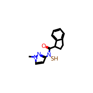 Cn1ccc(N(S)C(=O)C2CCc3ccccc32)n1